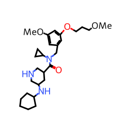 COCCCOc1cc(CN(C(=O)C2CNCC(NC3CCCCC3)C2)C2CC2)cc(OC)c1